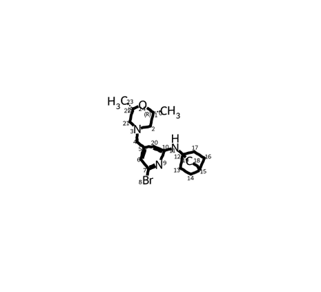 C[C@@H]1CN(Cc2cc(Br)nc(NC34CCC(CC3)CC4)c2)C[C@H](C)O1